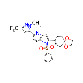 Cn1nc(C(F)(F)F)cc1-c1ccc2c(cc(C3=CCC4(CC3)OCCO4)n2S(=O)(=O)c2ccccc2)n1